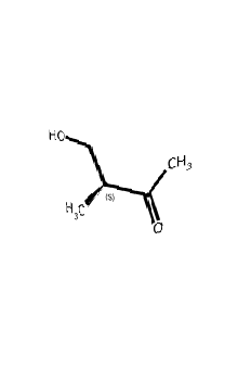 CC(=O)[C@@H](C)CO